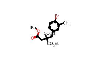 CCOC(=O)C(CC(=O)OC(C)(C)C)(Cc1ccc(Br)c(C)c1)C(=O)OCC